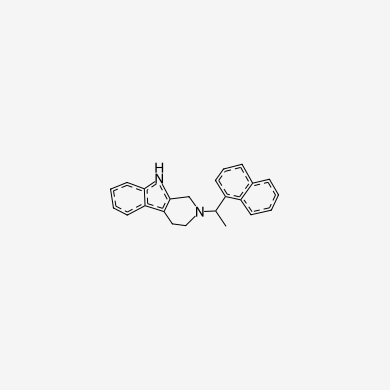 CC(c1cccc2ccccc12)N1CCc2c([nH]c3ccccc23)C1